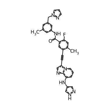 Cc1cc(Cn2cccn2)cc(NC(=O)c2cc(C#Cc3cnc4c(Nc5cn[nH]c5)cccn34)c(C)cc2F)c1